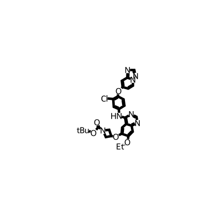 CCOc1cc2ncnc(Nc3ccc(Oc4ccn5ncnc5c4)c(Cl)c3)c2cc1OC1CN(C(=O)OC(C)(C)C)C1